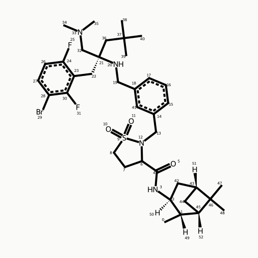 C[C@@H]1[C@@H](NC(=O)C2CCS(=O)(=O)N2Cc2cccc(CN[C@@](Cc3c(F)ccc(Br)c3F)(CN(C)C)CC(C)(C)C)c2)C[C@H]2C[C@@H]1C2(C)C